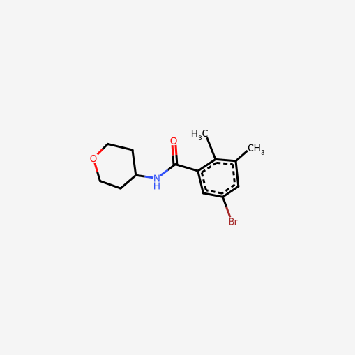 Cc1cc(Br)cc(C(=O)NC2CCOCC2)c1C